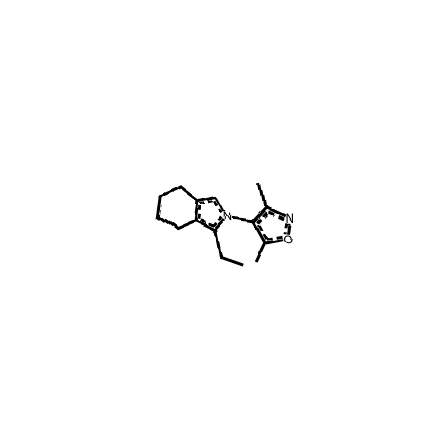 CCc1c2c(cn1-c1c(C)noc1C)CCCC2